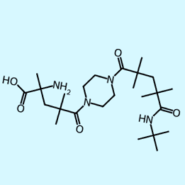 CC(C)(C)NC(=O)C(C)(C)CC(C)(C)C(=O)N1CCN(C(=O)C(C)(C)CC(C)(N)C(=O)O)CC1